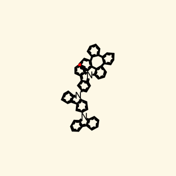 c1ccc2c(c1)-c1ccccc1-c1cccc(-n3c4ccccc4c4cc(-n5c6ccccc6c6cc(-n7c8ccccc8c8ccccc87)ccc65)ccc43)c1-c1ccccc1-2